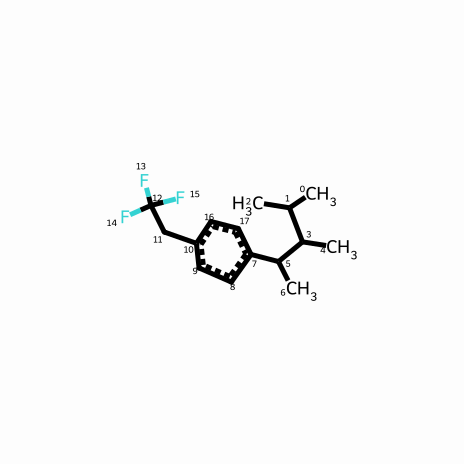 CC(C)C(C)C(C)c1ccc(CC(F)(F)F)cc1